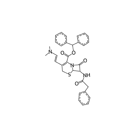 CN(C)C=CC1=C(C(=O)OC(c2ccccc2)c2ccccc2)N2C(=O)C(NC(=O)Cc3ccccc3)C2SC1